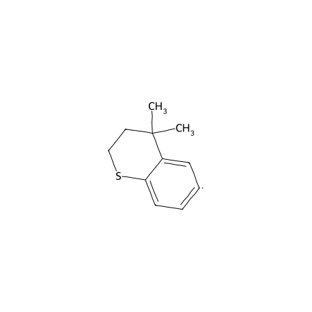 CC1(C)CCSc2cc[c]cc21